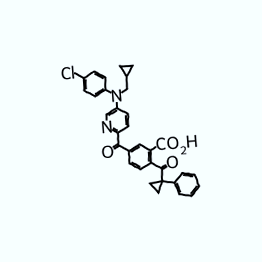 O=C(c1ccc(C(=O)C2(c3ccccc3)CC2)c(C(=O)O)c1)c1ccc(N(CC2CC2)c2ccc(Cl)cc2)cn1